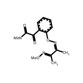 CNC(=O)C(=O)c1ccccc1ON=C(C)C(C)=NOC